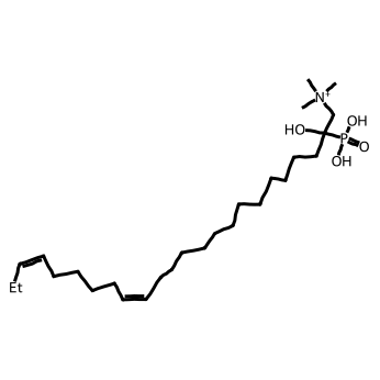 CC/C=C\CCCC/C=C\CCCCCCCCCCCCC(O)(C[N+](C)(C)C)P(=O)(O)O